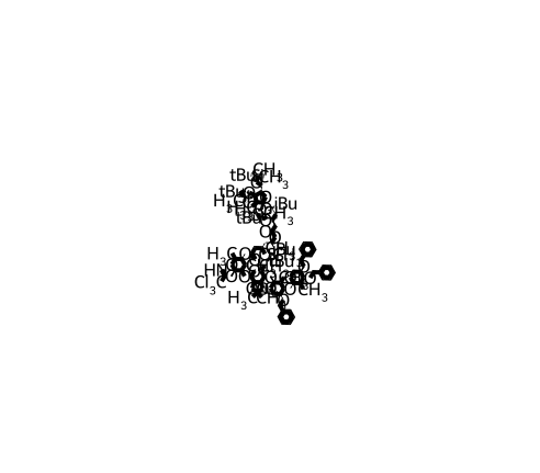 CC[C@H](C)[C@H](C[C@@H](CC(=O)O[C@H]1C(C)O[C@H](OC(=N)C(Cl)(Cl)Cl)C(O[C@@H]2OC(C)[C@H](O[C@@H]3OC[C@@H](OCc4ccccc4)C(O[C@@H]4OC[C@@H](OCc5ccccc5)C(OCc5ccccc5)C4C)C3C)C3OC(C)(C)OC32)C1C)O[Si](C)(C)C(C)(C)C)OC(=O)C[C@H](C[C@H](O[C@@H]1O[C@@H](CO[Si](C)(C)C(C)(C)C)C(O[Si](C)(C)C(C)(C)C)C1C)[C@@H](C)CC)O[Si](C)(C)C(C)(C)C